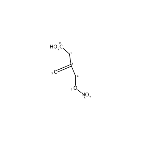 O=C(O)CC(=O)CO[N+](=O)[O-]